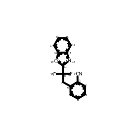 N#Cc1ccccc1CC(F)(F)c1nc2ccccc2o1